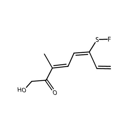 C=C/C(=C\C=C(/C)C(=O)CO)SF